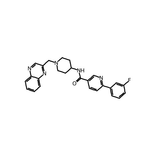 O=C(NC1CCN(Cc2cnc3ccccc3n2)CC1)c1ccc(-c2cccc(F)c2)nc1